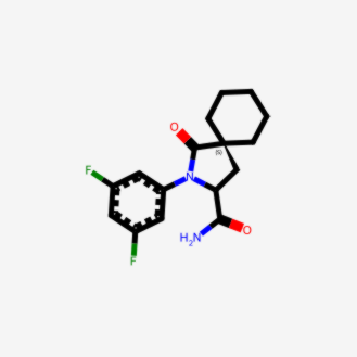 NC(=O)C1C[C@@]2(C[CH]CCC2)C(=O)N1c1cc(F)cc(F)c1